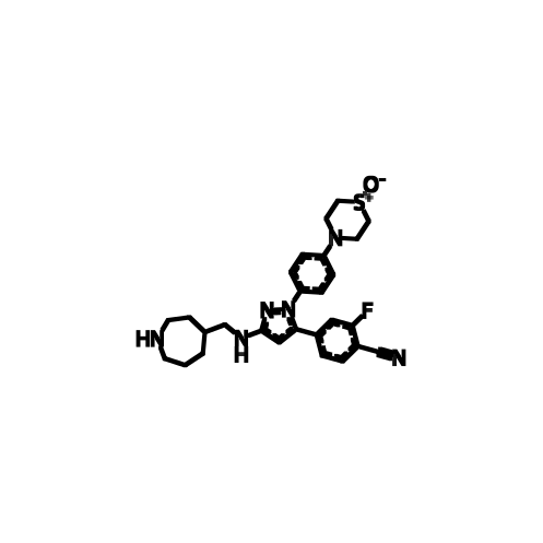 N#Cc1ccc(-c2cc(NCC3CCCNCC3)nn2-c2ccc(N3CC[S+]([O-])CC3)cc2)cc1F